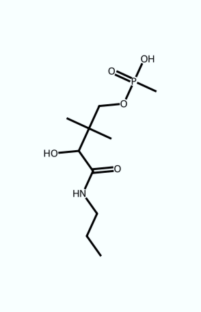 CCCNC(=O)C(O)C(C)(C)COP(C)(=O)O